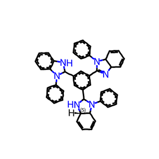 C1=CC2N=C(c3cc(C4Nc5ccccc5N4c4ccccc4)cc(C4N[C@H]5C=CC=CC5N4c4ccccc4)c3)N(c3ccccc3)C2C=C1